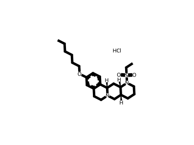 CCCCCCOc1ccc2c(c1)CCN1C[C@H]3CCCN(S(=O)(=O)CC)[C@H]3C[C@@H]21.Cl